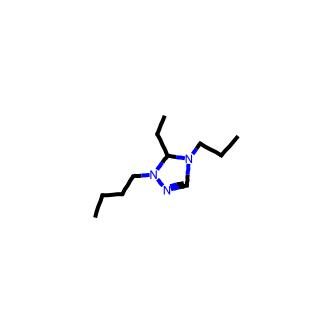 CCCCN1N=CN(CCC)C1CC